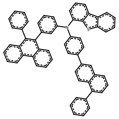 c1ccc(-c2cccc3cc(-c4ccc(N(c5cccc(-c6c(-c7ccccc7)c7ccccc7c7ccccc67)c5)c5cccc6c5sc5ccccc56)cc4)ccc23)cc1